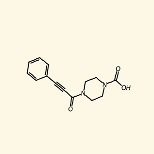 O=C(O)N1CCN(C(=O)C#Cc2ccccc2)CC1